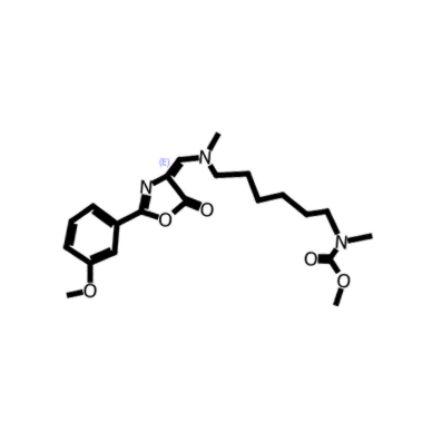 COC(=O)N(C)CCCCCCN(C)/C=C1/N=C(c2cccc(OC)c2)OC1=O